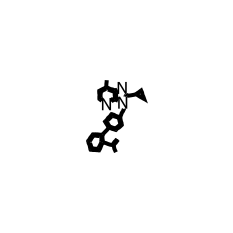 C=C(C)c1ccccc1-c1ccc(Cn2c(C3CC3)nc3c(C)ccnc32)cc1